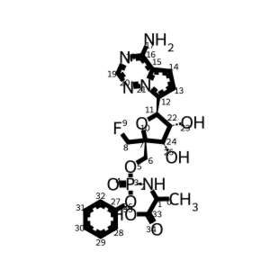 CC(N[P@](=O)(OC[C@@]1(CF)O[C@@H](c2ccc3c(N)ncnn23)[C@H](O)[C@@H]1O)Oc1ccccc1)C(=O)O